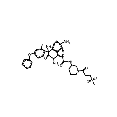 Cc1cc(Oc2ccccc2)ccc1C1(N)C(=O)C(N)c2c(C(=O)NC3CCCN(C(=O)CCS(C)(=O)=O)C3)sc3c(N)ccc1c23